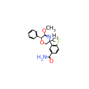 COC1=N[C@](C)(c2cc(C(N)=O)ccc2F)CO[C@H]1c1ccccc1